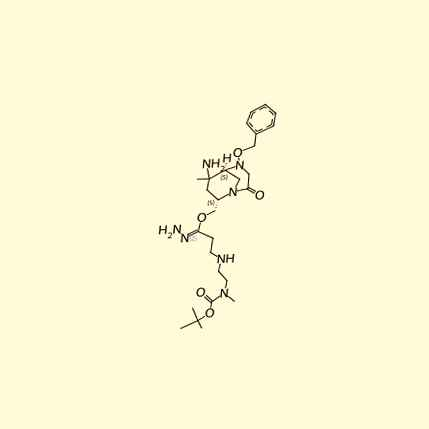 CN(CCNCC/C(=N/N)OC[C@@H]1CC(C)(N)[C@@H]2CN1C(=O)CN2OCc1ccccc1)C(=O)OC(C)(C)C